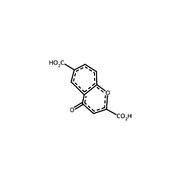 O=C(O)c1ccc2oc(C(=O)O)cc(=O)c2c1